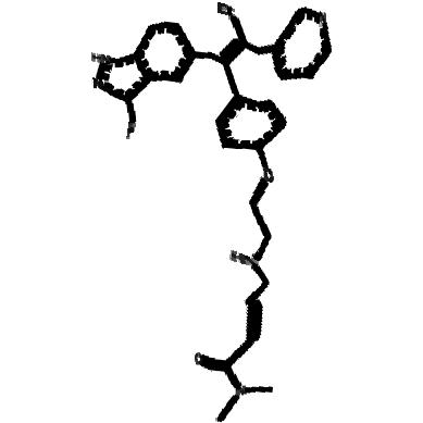 CC/C(=C(/c1ccc(OCCNC/C=C/C(=O)N(C)C)cc1)c1ccc2[nH]nc(F)c2c1)c1cccnc1